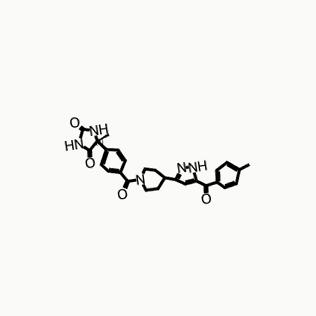 Cc1ccc(C(=O)c2cc(C3CCN(C(=O)c4ccc([C@@]5(C)NC(=O)NC5=O)cc4)CC3)n[nH]2)cc1